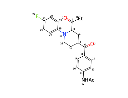 CCC(=O)C1CC(C(=O)c2ccc(NC(C)=O)cc2)CCN1c1ccc(F)cc1